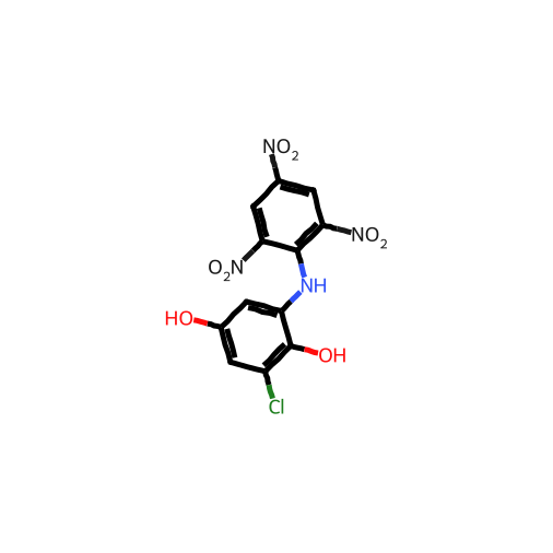 O=[N+]([O-])c1cc([N+](=O)[O-])c(Nc2cc(O)cc(Cl)c2O)c([N+](=O)[O-])c1